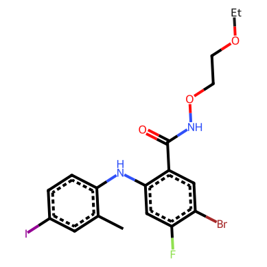 CCOCCONC(=O)c1cc(Br)c(F)cc1Nc1ccc(I)cc1C